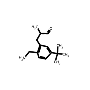 CC(C=O)Cc1cc(C(C)(C)C)ccc1CN